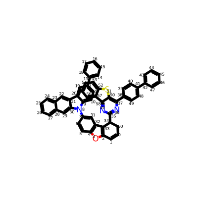 C1=Cc2oc3ccc(-n4c5ccc(-c6ccccc6)cc5c5cc6ccccc6cc54)cc3c2C(c2nc(-c3ccc(-c4ccccc4)cc3)c3sc4ccccc4c3n2)C1